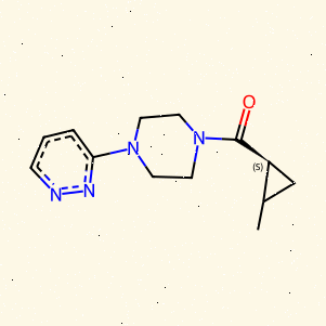 CC1C[C@@H]1C(=O)N1CCN(c2cccnn2)CC1